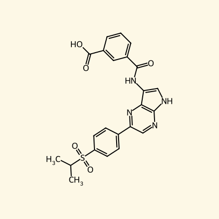 CC(C)S(=O)(=O)c1ccc(-c2cnc3[nH]cc(NC(=O)c4cccc(C(=O)O)c4)c3n2)cc1